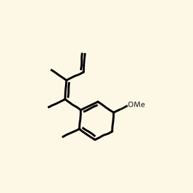 C=C/C(C)=C(/C)C1=CC(OC)CC=C1C